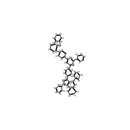 c1ccc(-c2nc(-c3ccc(-c4cccc5c4sc4ccccc45)cc3)cc(-c3ccc(-c4nn(-c5ccccc5)c5c4c(-c4ccccc4)cc4ccccc45)cc3)n2)cc1